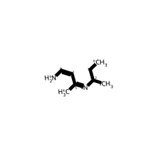 CCC(C)/N=C(C)\C=C/N